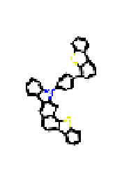 c1ccc2c(c1)sc1c(-c3ccc(-n4c5ccccc5c5cc6ccc7c8ccccc8sc7c6cc54)cc3)cccc12